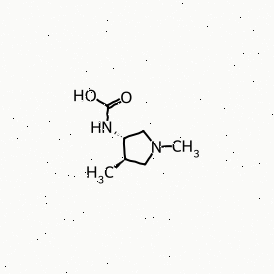 C[C@@H]1CN(C)C[C@H]1NC(=O)O